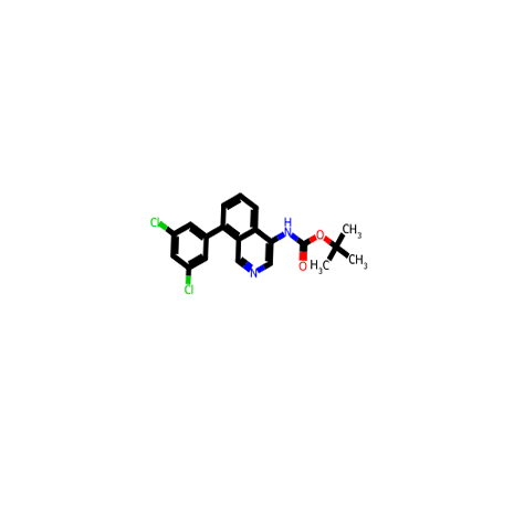 CC(C)(C)OC(=O)Nc1cncc2c(-c3cc(Cl)cc(Cl)c3)cccc12